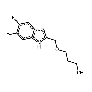 CCCCOCc1cc2cc(F)c(F)cc2[nH]1